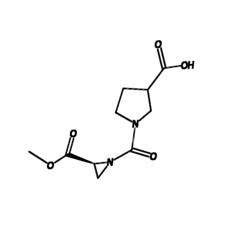 COC(=O)[C@@H]1CN1C(=O)N1CCC(C(=O)O)C1